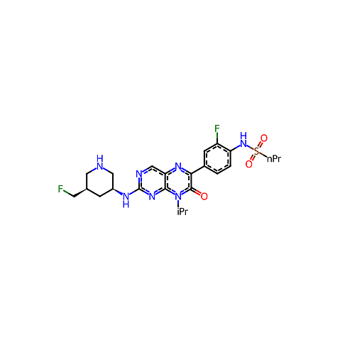 CCCS(=O)(=O)Nc1ccc(-c2nc3cnc(N[C@@H]4CNC[C@H](CF)C4)nc3n(C(C)C)c2=O)cc1F